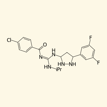 CC(C)N/C(=N/C(=O)c1ccc(Cl)cc1)NC1CC(c2cc(F)cc(F)c2)NN1